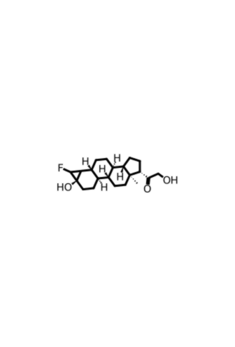 C[C@]12CC[C@@H]3[C@H]4CC[C@]5(O)C(F)C5[C@@H]4CC[C@H]3[C@@H]1CC[C@@H]2C(=O)CO